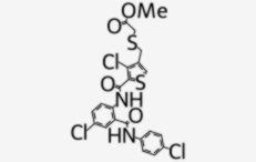 COC(=O)CSCc1csc(C(=O)Nc2ccc(Cl)cc2C(=O)Nc2ccc(Cl)cc2)c1Cl